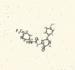 Cc1ccc(-c2cn(CC(=O)Nc3ccc(C(F)(F)F)nc3)c(=O)cn2)cc1